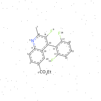 CCOC(=O)c1ccc2nc(C)c(F)c(-c3c(F)cccc3F)c2c1